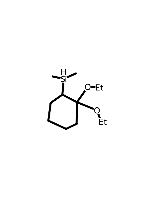 CCOC1(OCC)CCCCC1[SiH](C)C